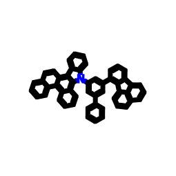 c1ccc(-c2cc(-c3cccc4c3-c3cccc5cccc-4c35)cc(-n3c4ccccc4c4c5ccc6ccccc6c5c5ccccc5c43)c2)cc1